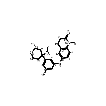 COC1(c2cc(F)cc(Sc3ccc4c(c3)CCC(=O)N4C)c2)CCO[C@H](C)C1